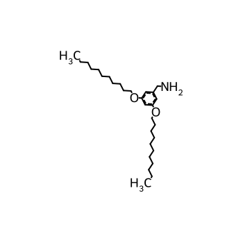 CCCCCCCCCCCOc1cc(CN)cc(OCCCCCCCCCCC)c1